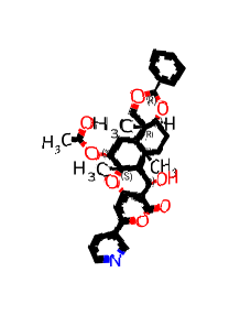 CC(=O)O[C@H]1CC2[C@](C)(CC[C@@H]3O[C@H](c4ccccc4)OC[C@@]23C)C2[C@@H](O)c3c(cc(-c4cccnc4)oc3=O)O[C@@]21C